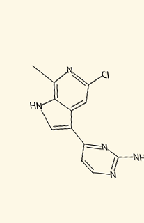 Cc1nc(Cl)cc2c(-c3ccnc(N)n3)c[nH]c12